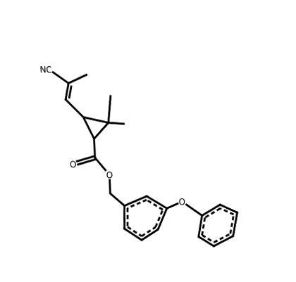 CC(C#N)=CC1C(C(=O)OCc2cccc(Oc3ccccc3)c2)C1(C)C